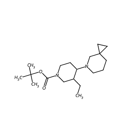 CCC1CN(C(=O)OC(C)(C)C)CCC1N1CCCC2(CC2)C1